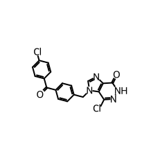 O=C(c1ccc(Cl)cc1)c1ccc(Cn2cnc3c(=O)[nH]nc(Cl)c32)cc1